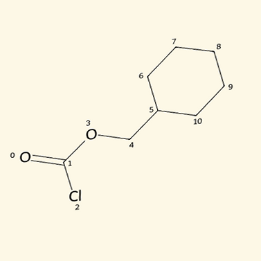 O=C(Cl)OCC1CCCCC1